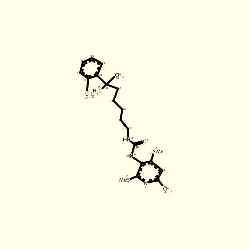 CSc1cc(C)nc(SC)c1NC(=O)NCCCCCC(C)(C)c1ccccc1C